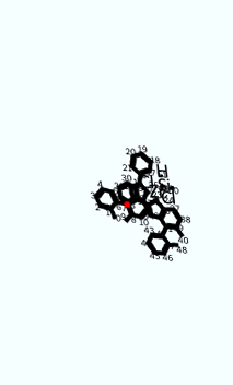 Cc1ccccc1-c1c(C)ccc2c1C=C(c1ccccc1)[CH]2[Zr]([Cl])([Cl])([CH]1C(c2ccccc2)=Cc2c1ccc(C)c2-c1ccccc1C)[SiH](C)C